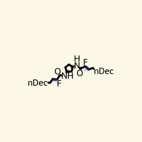 CCCCCCCCCCC/C=C(\F)C(=O)N[C@@H]1CC[C@H](NC(=O)/C(F)=C/CCCCCCCCCCC)C1